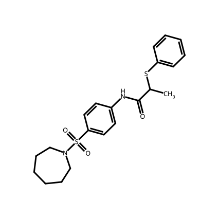 CC(Sc1ccccc1)C(=O)Nc1ccc(S(=O)(=O)N2CCCCCC2)cc1